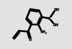 C=CC(=O)c1cccc(B(O)O)c1N